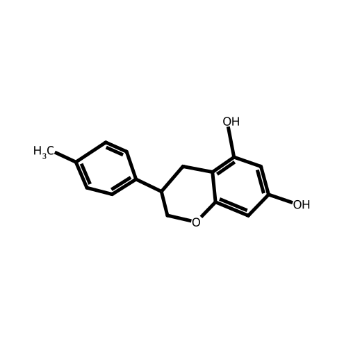 Cc1ccc(C2COc3cc(O)cc(O)c3C2)cc1